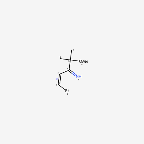 CC/C=C\C(=N)C(C)(C)OC